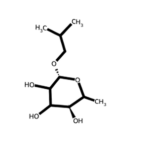 CC(C)CO[C@@H]1OC(C)[C@@H](O)C(O)C1O